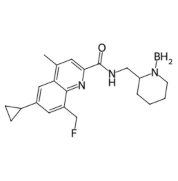 BN1CCCCC1CNC(=O)c1cc(C)c2cc(C3CC3)cc(CF)c2n1